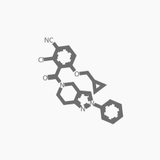 N#Cc1ccc(OCC2CC2)c(C(=O)N2CCc3nn(-c4ccccc4)cc3C2)c1Cl